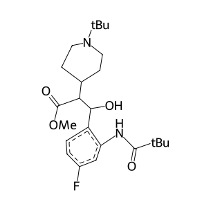 COC(=O)C(C1CCN(C(C)(C)C)CC1)C(O)c1ccc(F)cc1NC(=O)C(C)(C)C